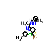 C=C(NCC1CCC2CC1C2(C)C)c1nn(C2=CCC(C)C=C2Cl)c2c1CCc1sc(Br)cc1-2